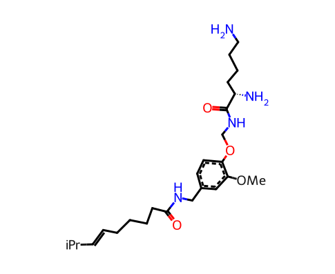 COc1cc(CNC(=O)CCCC/C=C/C(C)C)ccc1OCNC(=O)[C@@H](N)CCCCN